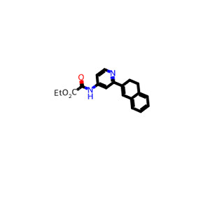 CCOC(=O)C(=O)Nc1ccnc(C2=Cc3ccccc3CC2)c1